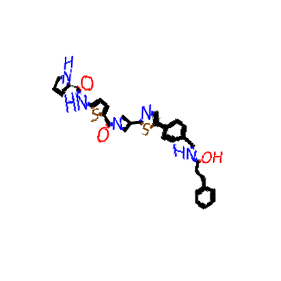 O=C(Nc1ccc(C(=O)N2CC(c3ncc(-c4ccc(CNC(O)CCc5ccccc5)cc4)s3)C2)s1)[C@@H]1CCCN1